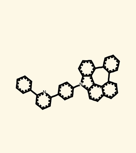 c1ccc(-c2cccc(-c3ccc(-n4c5cccc6c5c5c7c(cccc7ccc54)-c4ccccc4-6)cc3)n2)cc1